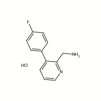 Cl.NCc1ncccc1-c1ccc(F)cc1